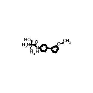 CCOc1cccc(-c2ccc(NC(=O)[C@@](C)(N)CO)cc2)c1